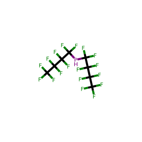 FC(F)(F)C(F)(F)C(F)(F)C(F)(F)PC(F)(F)C(F)(F)C(F)(F)C(F)(F)F